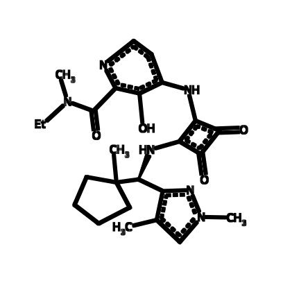 CCN(C)C(=O)c1nccc(Nc2c(N[C@@H](c3nn(C)cc3C)C3(C)CCCC3)c(=O)c2=O)c1O